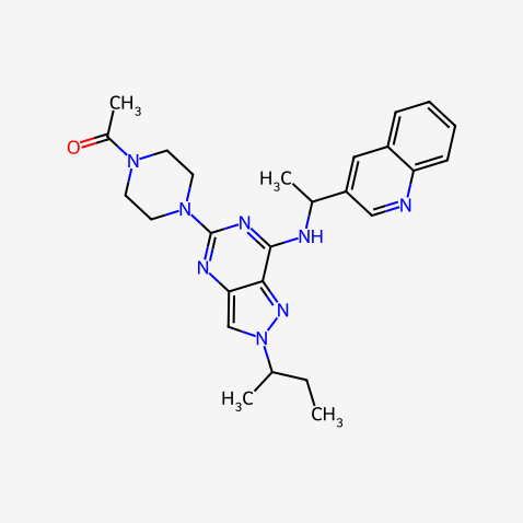 CCC(C)n1cc2nc(N3CCN(C(C)=O)CC3)nc(NC(C)c3cnc4ccccc4c3)c2n1